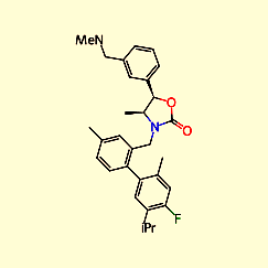 CNCc1cccc([C@H]2OC(=O)N(Cc3cc(C)ccc3-c3cc(C(C)C)c(F)cc3C)[C@H]2C)c1